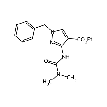 CCOC(=O)c1cn(Cc2ccccc2)nc1NC(=O)N(C)C